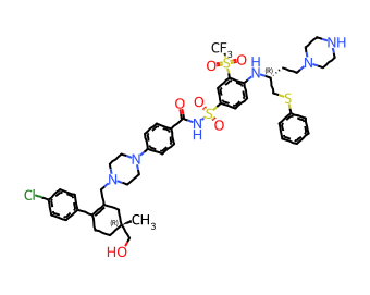 C[C@@]1(CO)CCC(c2ccc(Cl)cc2)=C(CN2CCN(c3ccc(C(=O)NS(=O)(=O)c4ccc(N[C@H](CCN5CCNCC5)CSc5ccccc5)c(S(=O)(=O)C(F)(F)F)c4)cc3)CC2)C1